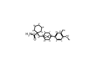 COc1ccc(C23CCC(CC4(C(N)=O)CCCCC4)(CC2)CC3)cc1C